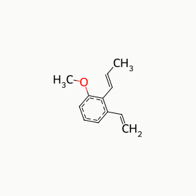 C=Cc1cccc(OC)c1C=CC